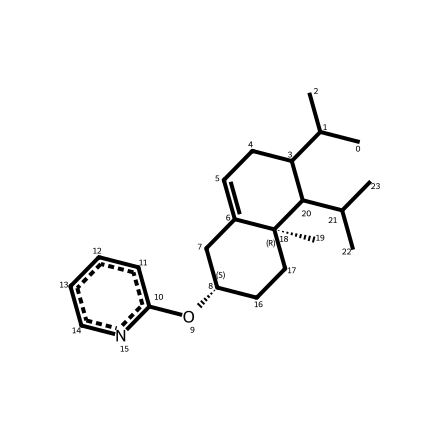 CC(C)C1CC=C2C[C@@H](Oc3ccccn3)CC[C@]2(C)C1C(C)C